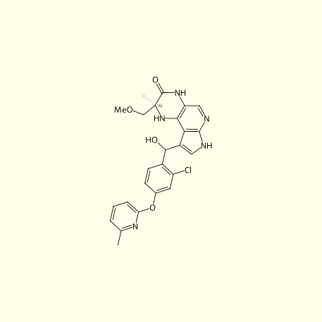 COC[C@]1(C)Nc2c(cnc3[nH]cc(C(O)c4ccc(Oc5cccc(C)n5)cc4Cl)c23)NC1=O